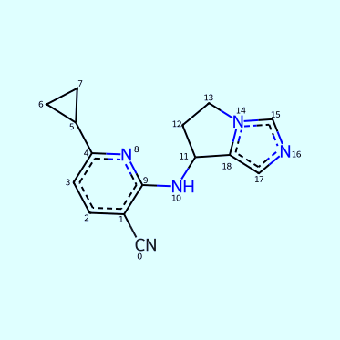 N#Cc1ccc(C2CC2)nc1NC1CCn2cncc21